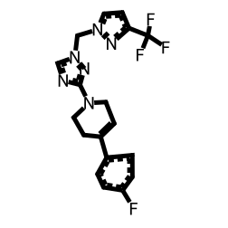 Fc1ccc(C2=CCN(c3ncn(Cn4ccc(C(F)(F)F)n4)n3)CC2)cc1